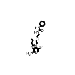 CCCc1nc2c(N)ncc(Br)c2n1CCOCCNC(=O)NC1CCCCC1